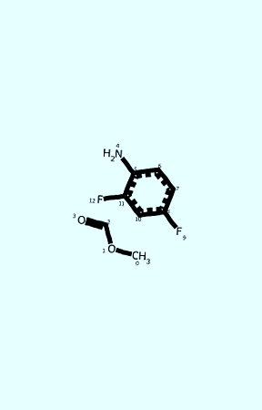 COC=O.Nc1ccc(F)cc1F